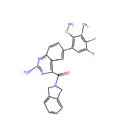 Cc1c(F)c(F)cc(-c2ccc3nc(N)nc(C(=O)N4Cc5ccccc5C4)c3c2)c1ON